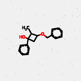 CC1C(OCc2ccccc2)CC1(O)c1ccccc1